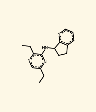 CCc1cnc(CC)c(NC2CCc3cccnc32)n1